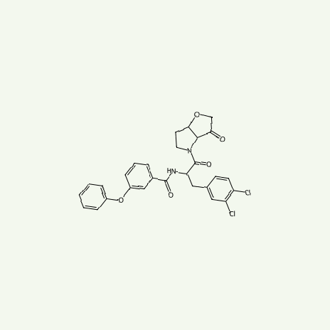 O=C(NC(Cc1ccc(Cl)c(Cl)c1)C(=O)N1CCC2OCC(=O)C21)c1cccc(Oc2ccccc2)c1